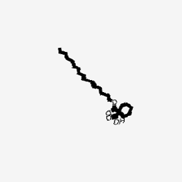 CCCCCCCCCCCCCCCCOC(=O)C1(C(=O)O)CCCCC1